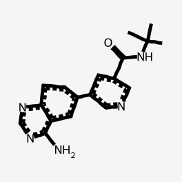 CC(C)(C)NC(=O)c1cncc(-c2ccc3ncnc(N)c3c2)c1